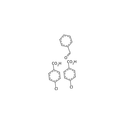 O=C(O)c1ccc(Cl)cc1.O=C(O)c1ccc(Cl)cc1.O=Ic1ccccc1